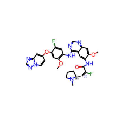 COc1cc2ncnc(Nc3cc(F)c(Oc4ccn5ncnc5c4)cc3OC)c2cc1NC(=O)/C(F)=C\[C@H]1CCCN1C